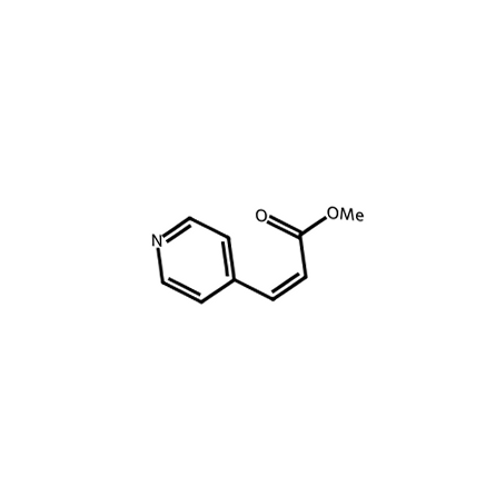 COC(=O)/C=C\c1ccncc1